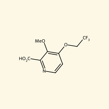 COc1c(OCC(F)(F)F)ccnc1C(=O)O